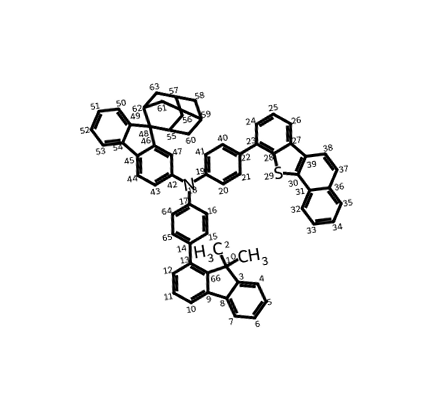 CC1(C)c2ccccc2-c2cccc(-c3ccc(N(c4ccc(-c5cccc6c5sc5c7ccccc7ccc65)cc4)c4ccc5c(c4)C4(c6ccccc6-5)C5CC6CC(C5)CC4C6)cc3)c21